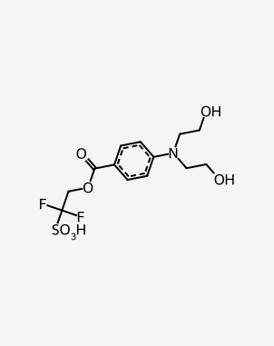 O=C(OCC(F)(F)S(=O)(=O)O)c1ccc(N(CCO)CCO)cc1